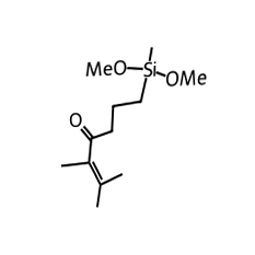 CO[Si](C)(CCCC(=O)C(C)=C(C)C)OC